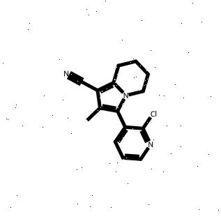 Cc1c(C#N)c2n(c1-c1cccnc1Cl)CCCC2